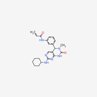 C=CC(=O)Nc1cccc(C2c3cnc(NC4CCCCC4)nc3NC(=O)N2C)c1